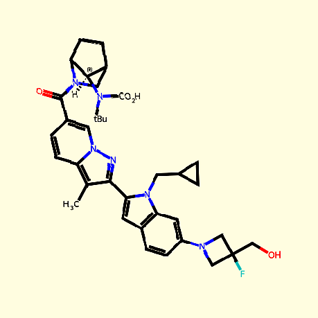 Cc1c(-c2cc3ccc(N4CC(F)(CO)C4)cc3n2CC2CC2)nn2cc(C(=O)N3CC4CCC3[C@@H]4N(C(=O)O)C(C)(C)C)ccc12